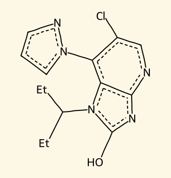 CCC(CC)n1c(O)nc2ncc(Cl)c(-n3cccn3)c21